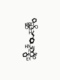 CC[C@@H]1C(=O)N(C)c2cnc(Nc3ccc(/C=C/C[C@H](NC(=O)OC(C)(C)C)C(=O)OC4CCCC4)cc3)nc2N1C1CCCC1